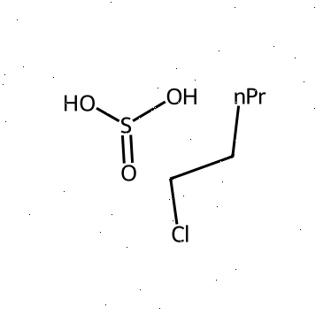 CCCCCCl.O=S(O)O